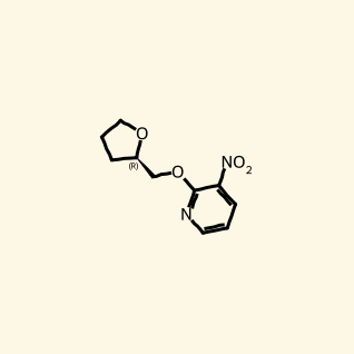 O=[N+]([O-])c1cccnc1OC[C@H]1CCCO1